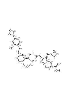 O=C(O)c1ccc2nc(CN3CCC4c5nc(OCc6ccc(C7COC7)cc6F)ccc5COCC4C3)n(C[C@@H]3CCO3)c2c1